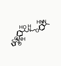 Cc1n[nH]c2cc(OCCNCC(O)c3cccc(NS(=O)(=O)c4cccs4)c3)ccc12